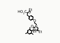 CCOC(Cc1ccc(OCCN(CC(CC)CC)C(=O)Nc2c(C)cc(C)cc2C)cc1)C(=O)O